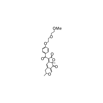 COCCOCCOc1ccc(C(=O)C2=C3C=C4CC(C)OC=C4C(=O)C3(C)OC2=O)cc1